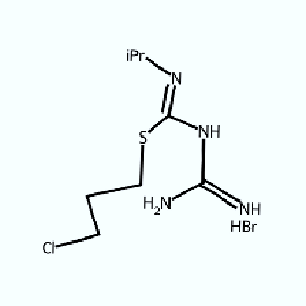 Br.CC(C)N=C(NC(=N)N)SCCCCl